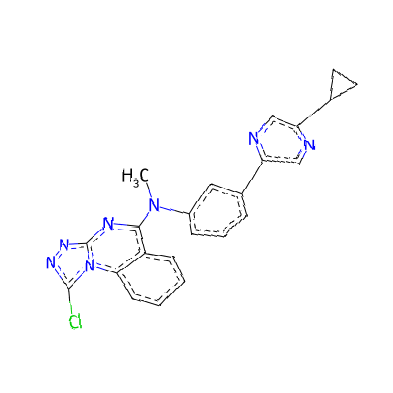 CN(c1cccc(-c2cnc(C3CC3)cn2)c1)c1nc2nnc(Cl)n2c2ccccc12